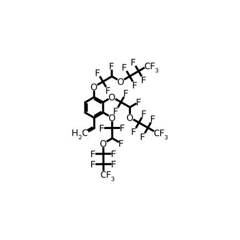 C=Cc1ccc(OC(F)(F)C(F)OC(F)(F)C(F)(F)C(F)(F)F)c(OC(F)(F)C(F)OC(F)(F)C(F)(F)C(F)(F)F)c1OC(F)(F)C(F)OC(F)(F)C(F)(F)C(F)(F)F